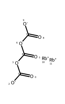 O=C([O-])OC(=O)OC(=O)[O-].[Rb+].[Rb+]